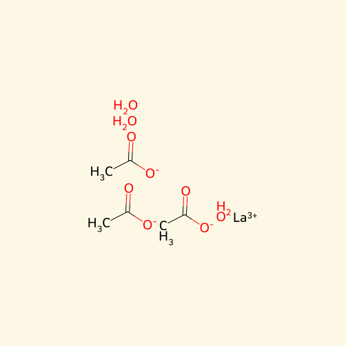 CC(=O)[O-].CC(=O)[O-].CC(=O)[O-].O.O.O.[La+3]